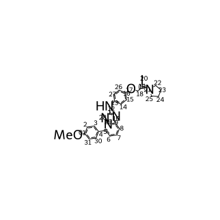 COc1ccc(-c2cccc3nc(Nc4ccc(OC[C@H](I)N5CCCC5)cc4)nn23)cc1